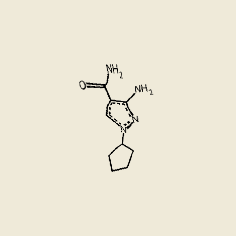 NC(=O)c1cn(C2CCCC2)nc1N